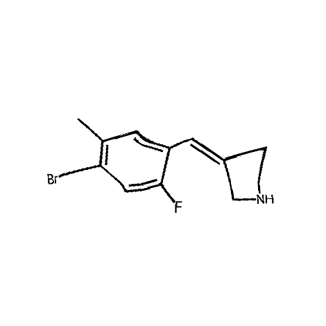 Cc1cc(C=C2CNC2)c(F)cc1Br